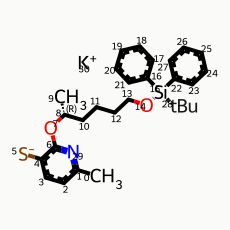 Cc1ccc([S-])c(O[C@H](C)CCCCO[Si](c2ccccc2)(c2ccccc2)C(C)(C)C)n1.[K+]